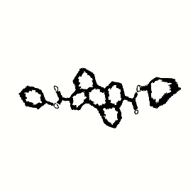 O=C(Oc1ccccc1)c1ccc2c3cccc4c(C(=O)Oc5ccccc5)ccc(c5cccc1c52)c43